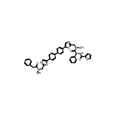 CCCN(Cc1ncc(-c2ccc(-c3ccc(-c4cnc(CN(CCC)C(=O)[C@@H](NC(=O)c5cccs5)c5ccccc5)s4)cc3)cc2)s1)C(=O)Cc1ccccc1